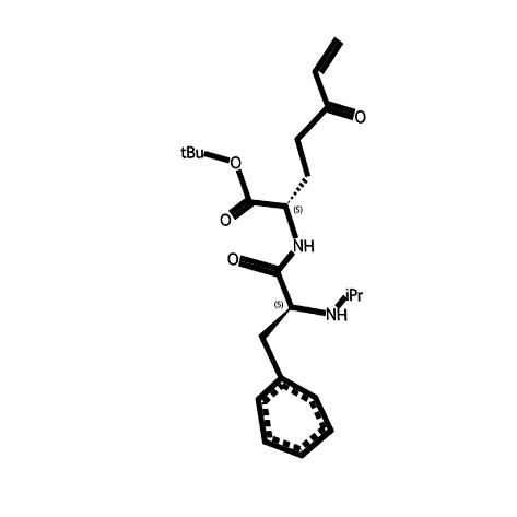 C=CC(=O)CC[C@H](NC(=O)[C@H](Cc1ccccc1)NC(C)C)C(=O)OC(C)(C)C